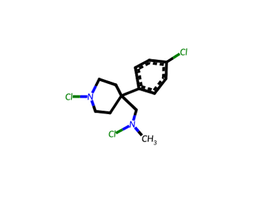 CN(Cl)CC1(c2ccc(Cl)cc2)CCN(Cl)CC1